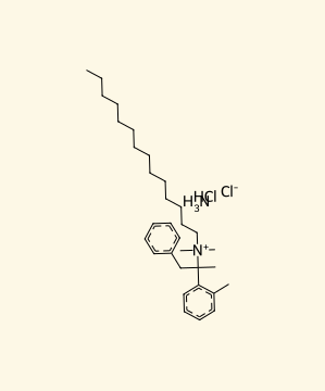 CCCCCCCCCCCCCC[N+](C)(C)C(C)(Cc1ccccc1)c1ccccc1C.Cl.N.[Cl-]